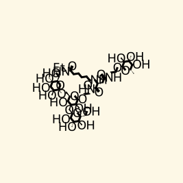 CCNC(=O)CCCCC(=O)N[C@@H](CC(=O)NCCO[C@@H]1O[C@@H](C)[C@@H](O)[C@@H](O)[C@@H]1O)C(=O)NCCO[C@H]1O[C@H](CO[C@H]2O[C@H](CO)[C@@H](O)[C@H](O)[C@@H]2O)[C@@H](O)[C@H](O[C@H]2O[C@H](CO)[C@@H](O)[C@H](O)[C@@H]2O)[C@@H]1O